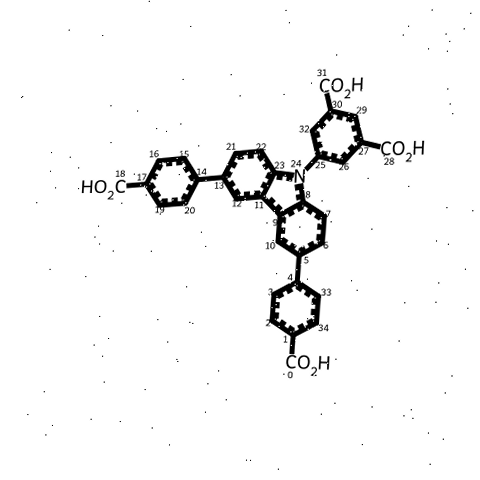 O=C(O)c1ccc(-c2ccc3c(c2)c2cc(-c4ccc(C(=O)O)cc4)ccc2n3-c2cc(C(=O)O)cc(C(=O)O)c2)cc1